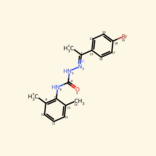 C/C(=N\NC(=O)Nc1c(C)cccc1C)c1ccc(Br)cc1